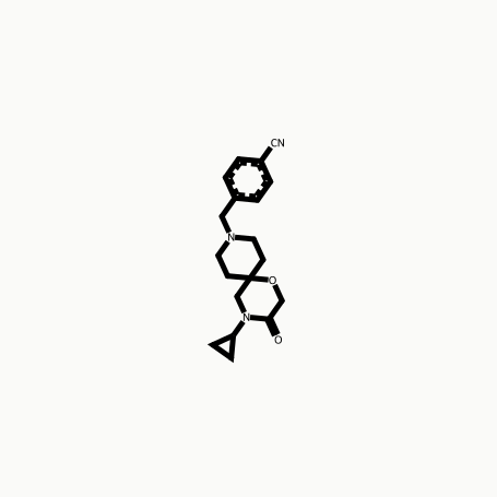 N#Cc1ccc(CN2CCC3(CC2)CN(C2CC2)C(=O)CO3)cc1